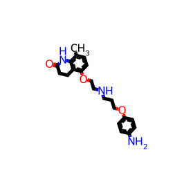 Cc1ccc(OCCNCCCOc2ccc(N)cc2)c2c1NC(=O)CC2